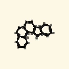 C1=CN2CC=c3ccccc3=C2c2oc3ccccc3c21